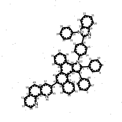 c1ccc(-c2c(-c3ccccc3)n(-c3ccc(-c4nc5ccccc5n4-c4ccccc4)cc3)c3c4ccccc4c4cc(-c5cnc6c(ccc7cccnc76)c5)c5ccccc5c4c23)cc1